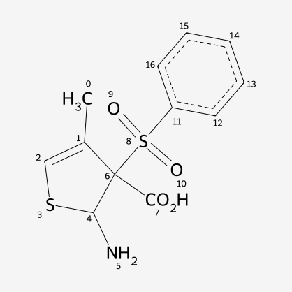 CC1=CSC(N)C1(C(=O)O)S(=O)(=O)c1ccccc1